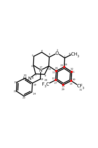 CC(OC1CCC2C(N)CC1(c1ccccc1)N2Cc1ccccc1)c1cc(C(F)(F)F)cc(C(F)(F)F)c1